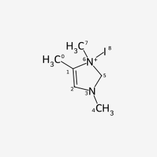 CC1=CN(C)C[N+]1(C)I